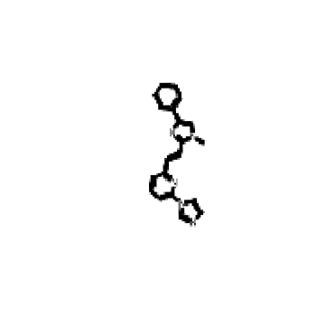 Cn1cc(-c2ccccc2)nc1/C=C/c1cccc(-n2ccnc2)n1